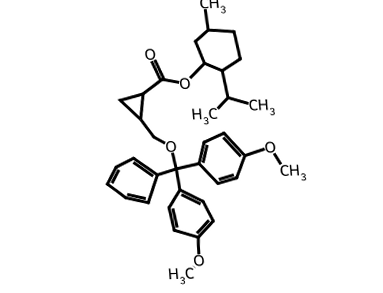 COc1ccc(C(OCC2CC2C(=O)OC2CC(C)CCC2C(C)C)(c2ccccc2)c2ccc(OC)cc2)cc1